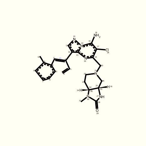 C=C/C(=C\c1ccccc1C)c1cnn2c(N)c(Cl)c(CN3CC[C@@H]4[C@H](C3)NC(=O)N4C)nc12